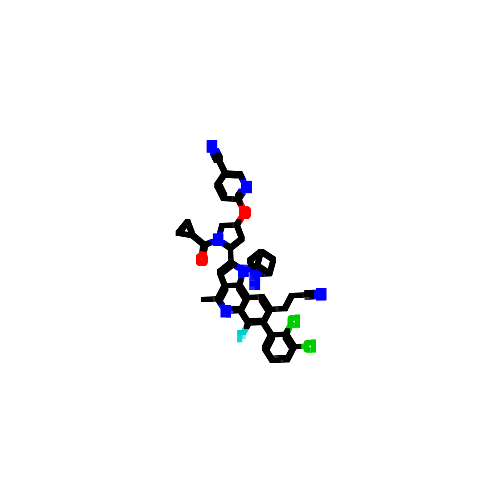 Cc1nc2c(F)c(-c3cccc(Cl)c3Cl)c(CCC#N)cc2c2c1cc(C1CC(Oc3ccc(C#N)cn3)CN1C(=O)C1CC1)n2C1C2CNC1C2